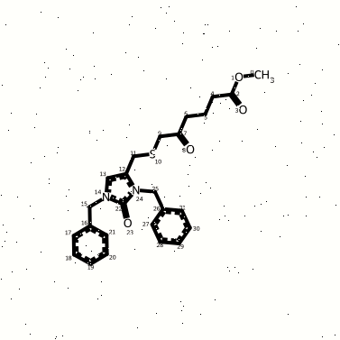 COC(=O)CCCC(=O)CSCc1cn(Cc2ccccc2)c(=O)n1Cc1ccccc1